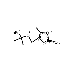 CCCC(C)(C)OCc1oc(=O)oc1C